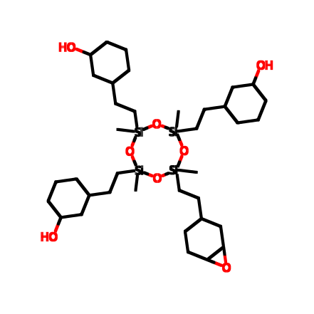 C[Si]1(CCC2CCCC(O)C2)O[Si](C)(CCC2CCCC(O)C2)O[Si](C)(CCC2CCC3OC3C2)O[Si](C)(CCC2CCCC(O)C2)O1